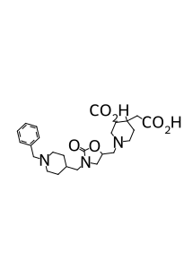 O=C(O)CC1(C(=O)O)CCN(CC2CN(CC3CCN(Cc4ccccc4)CC3)C(=O)O2)CC1